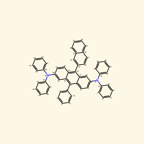 c1ccc(-c2c3ccc(N(c4ccccc4)c4ccccc4)cc3c(-c3ccc4ccccc4c3)c3ccc(N(c4ccccc4)c4ccccc4)cc23)cc1